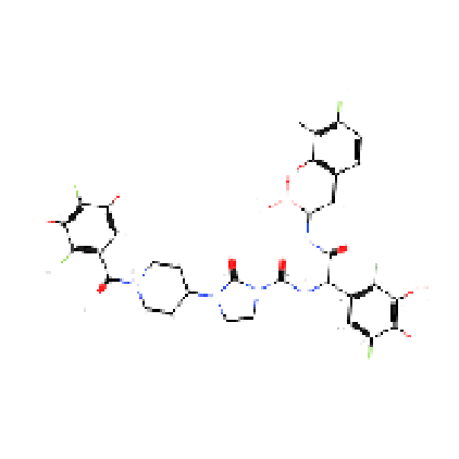 O=C(O)c1c(F)ccc2c1OB(O)C(NC(=O)C(NC(=O)N1CCN(C3CCN(C(=O)c4cc(O)c(F)c(O)c4F)CC3)C1=O)c1cc(F)c(O)c(O)c1Cl)C2